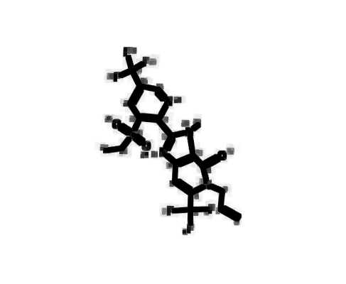 C=CCn1c(C(F)(F)F)cc2nc(-c3ncc(C(F)(F)F)cc3S(=O)(=O)CC)n(C)c2c1=O